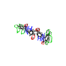 O=C1c2ccc(/N=C3\NC(=O)c4c(Cl)c(Cl)c(Cl)c(Cl)c43)cc2C(=O)c2ccc(/N=C3\NC(=O)c4c(Cl)c(Cl)c(Cl)c(Cl)c43)cc21